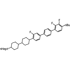 CCCCCCCC1CCC(C2CCC(c3ccc(-c4ccc(-c5ccc(CCCC)c(F)c5F)cc4)cc3F)CC2)CC1